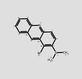 CN(C)c1ccc2nc3ccccc3cc2c1Br